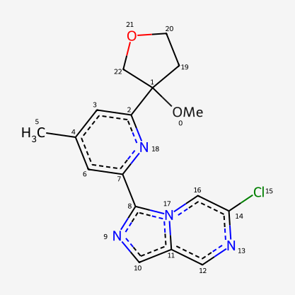 COC1(c2cc(C)cc(-c3ncc4cnc(Cl)cn34)n2)CCOC1